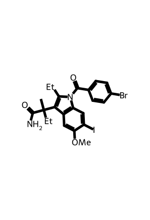 CCc1c(C(C)(CC)C(N)=O)c2cc(OC)c(I)cc2n1C(=O)c1ccc(Br)cc1